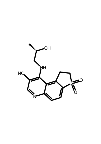 C[C@@H](O)CNc1c(C#N)cnc2ccc3c(c12)CCS3(=O)=O